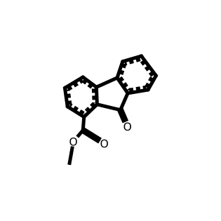 COC(=O)c1cccc2c1C(=O)c1ccccc1-2